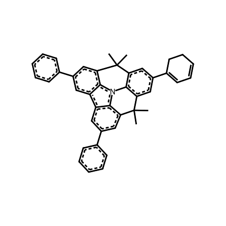 CC1(C)c2cc(C3=CC=CCC3)cc3c2-n2c4c1cc(-c1ccccc1)cc4c1cc(-c4ccccc4)cc(c12)C3(C)C